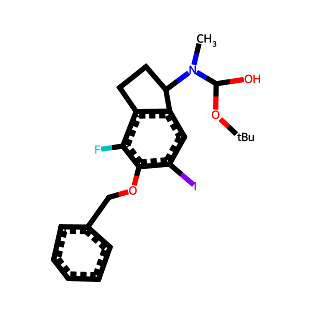 CN(C(O)OC(C)(C)C)C1CCc2c1cc(I)c(OCc1ccccc1)c2F